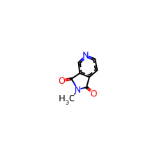 CN1C(=O)c2ccncc2C1=O